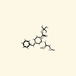 COCC(O)C[C@@H]1CN(Cc2ccccc2)CCN1C(=O)OC(C)(C)C